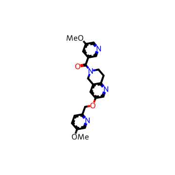 COc1ccc(COc2cnc3c(c2)CN(C(=O)c2cncc(OC)c2)CC3)nc1